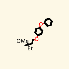 CCC(C)(CCOc1ccc(Oc2ccccc2)cc1)OC